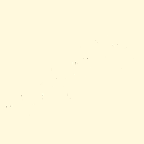 Cc1nc(C(C)(C)NC(=O)C2[C@H]3CN(C(=O)OC(C)(C)C)C[C@@H]23)c2ccccn12